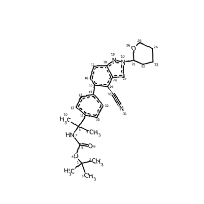 CC(C)(C)OC(=O)NC(C)(C)c1ccc(-c2ccc3nn(C4CCCCO4)cc3c2C#N)cc1